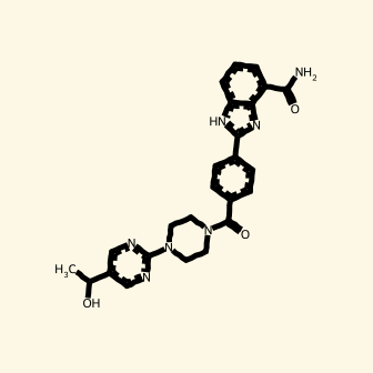 CC(O)c1cnc(N2CCN(C(=O)c3ccc(-c4nc5c(C(N)=O)cccc5[nH]4)cc3)CC2)nc1